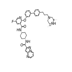 C[C@@H]1CN(CCCc2ccc(-c3cccc(Oc4ncc(F)cc4C(=O)N[C@H]4CC[C@@H](NC(=O)c5cc6ncccn6n5)CC4)c3)cc2)C[C@H](C)N1